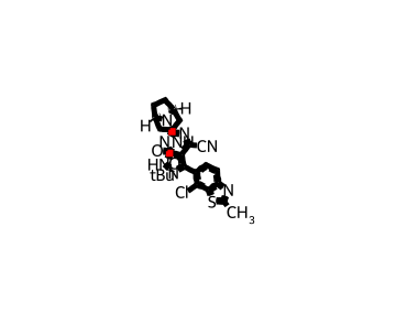 Cc1nc2ccc(-c3n[nH]c4nc(N5[C@@H]6CC[C@H]5CC(NC(=O)OC(C)(C)C)C6)nc(C#N)c34)c(Cl)c2s1